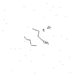 CCCC.CCCO.[Ti].[Zn]